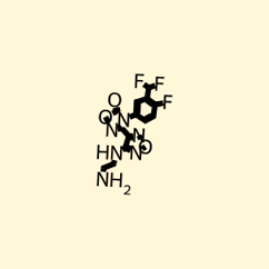 NCCNc1nonc1-c1noc(=O)n1-c1ccc(F)c(C(F)F)c1